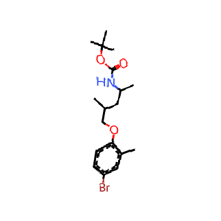 Cc1cc(Br)ccc1OCC(C)CC(C)NC(=O)OC(C)(C)C